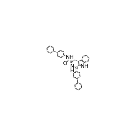 O=C(Nc1ccc(-c2ccccc2)cc1)[C@@H]1Cc2c([nH]c3ccccc23)[C@H](c2ccc(-c3ccccc3)cc2)N1